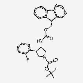 CC(C)(C)OC(=O)N1C[C@@H](NC(=O)OCC2c3ccccc3-c3ccccc32)[C@H](c2ccccc2F)C1